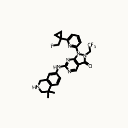 CC1(C)CNCc2cc(Nc3ncc4c(=O)n(CC(F)(F)F)n(-c5cccc(C6(CF)CC6)n5)c4n3)ccc21